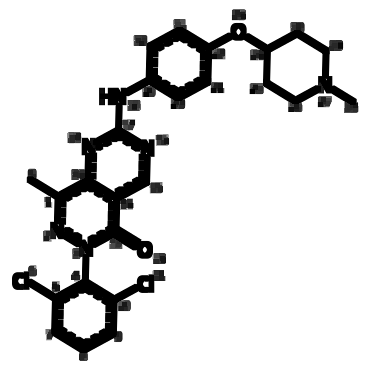 Cc1nn(-c2c(Cl)cccc2Cl)c(=O)c2cnc(Nc3ccc(OC4CCN(C)CC4)cc3)nc12